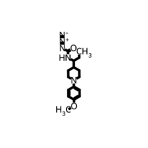 CCC(NC(=O)N=[N+]=[N-])C1CCN(c2ccc(OC)cc2)CC1